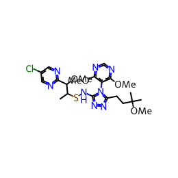 COc1ncnc(OC)c1-n1c(CCC(C)(C)OC)nnc1NSC(C)C(OC)c1ncc(Cl)cn1